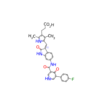 Cc1[nH]c(/C=C2\C(=O)Nc3cc(NC(=O)c4c[nH]cc(-c5ccc(F)cc5)c4=O)ccc32)c(C)c1CCC(=O)O